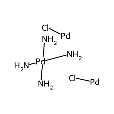 [Cl][Pd].[Cl][Pd].[NH2][Pd]([NH2])([NH2])[NH2]